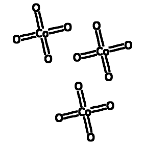 [O]=[Co](=[O])(=[O])=[O].[O]=[Co](=[O])(=[O])=[O].[O]=[Co](=[O])(=[O])=[O]